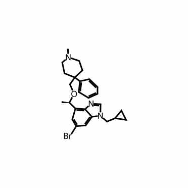 C[C@@H](OCC1(c2ccccc2)CCN(C)CC1)c1cc(Br)cc2c1ncn2CC1CC1